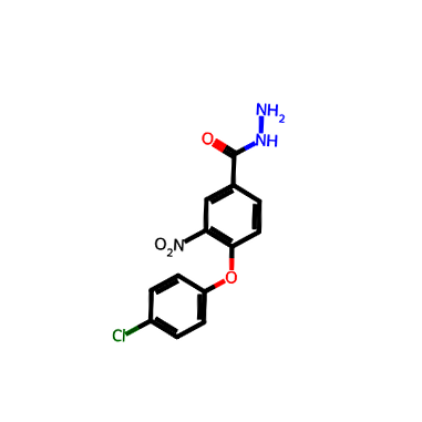 NNC(=O)c1ccc(Oc2ccc(Cl)cc2)c([N+](=O)[O-])c1